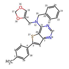 Cc1ccc(-c2cc3ncnc(N(CC4=COCO4)Cc4ccccc4)c3s2)cc1